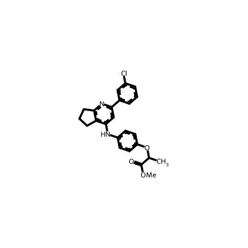 COC(=O)C(C)Oc1ccc(Nc2cc(-c3cccc(Cl)c3)nc3c2CCC3)cc1